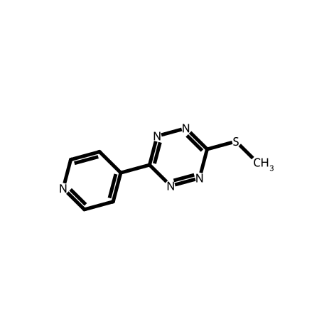 CSc1nnc(-c2ccncc2)nn1